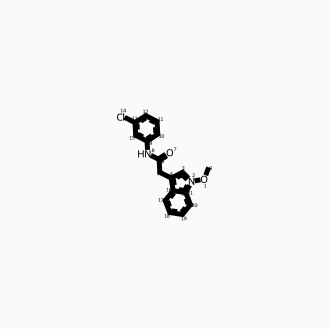 COn1cc(CC(=O)Nc2cccc(Cl)c2)c2ccccc21